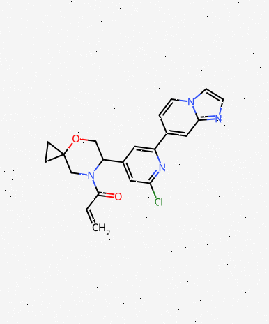 C=CC(=O)N1CC2(CC2)OCC1c1cc(Cl)nc(-c2ccn3ccnc3c2)c1